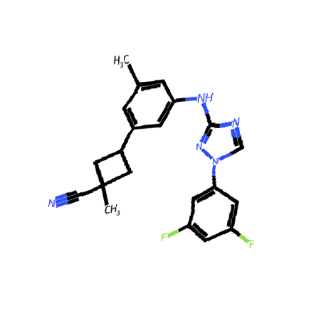 Cc1cc(Nc2ncn(-c3cc(F)cc(F)c3)n2)cc(C2CC(C)(C#N)C2)c1